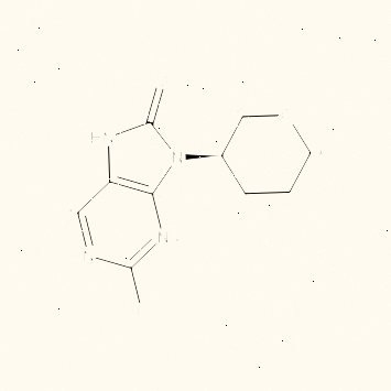 O=c1[nH]c2cnc(Cl)nc2n1[C@@H]1CCCOC1